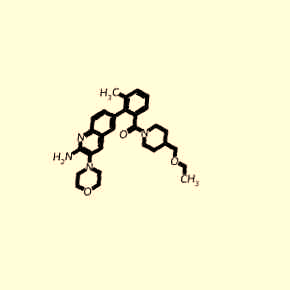 CCOCC1CCN(C(=O)c2cccc(C)c2-c2ccc3nc(N)c(N4CCOCC4)cc3c2)CC1